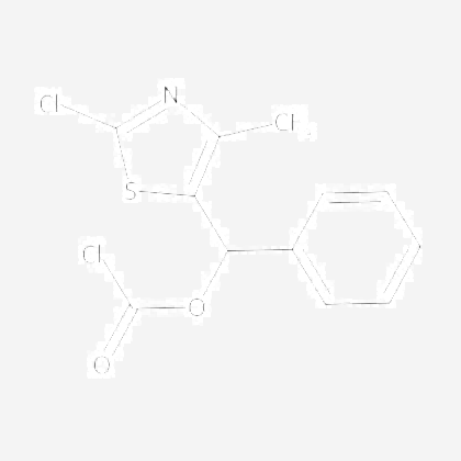 O=C(Cl)OC(c1ccccc1)c1sc(Cl)nc1C(F)(F)F